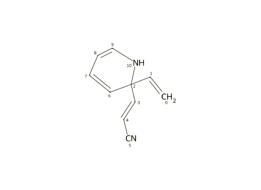 C=CC1(C=CC#N)C=CC=CN1